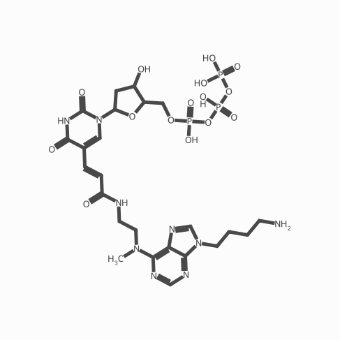 CN(CCNC(=O)/C=C/c1cn(C2CC(O)C(COP(=O)(O)OP(=O)(O)OP(=O)(O)O)O2)c(=O)[nH]c1=O)c1ncnc2c1ncn2CCCCN